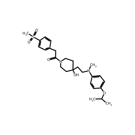 CC(C)Oc1ccc(N(C)CCC2(O)CCN(C(=O)Cc3ccc(S(C)(=O)=O)cc3)CC2)cc1